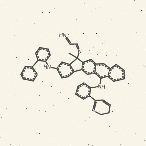 CC1(/N=C\C=N)c2cc(Nc3ccccc3-c3ccccc3)ccc2-c2cc3c(Nc4ccccc4C4=CCCC=C4)c4ccccc4cc3cc21